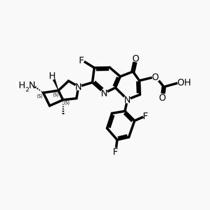 C[C@]12C[C@H](N)[C@@H]1CN(c1nc3c(cc1F)c(=O)c(OC(=O)O)cn3-c1ccc(F)cc1F)C2